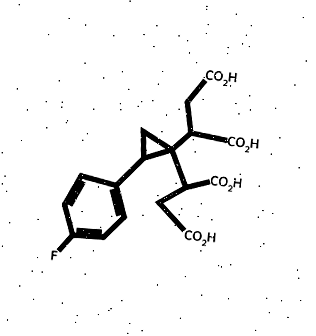 O=C(O)CC(C(=O)O)C1(C(CC(=O)O)C(=O)O)CC1c1ccc(F)cc1